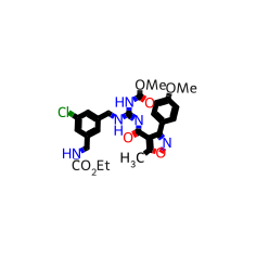 CCOC(=O)NCc1cc(Cl)cc(CN/C(=N\C(=O)c2c(-c3ccc(OC)cc3)noc2C)NC(=O)OC)c1